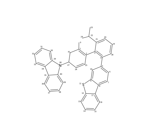 CC1=C(c2c(-c3ccc4c(c3)sc3ccccc34)cccc2C(C)C)C=CC(n2c3ccccc3c3ccccc32)C1